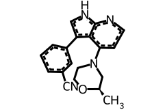 C[C@@H]1CN(c2ccnc3[nH]cc(-c4cccc(C#N)c4)c23)CCO1